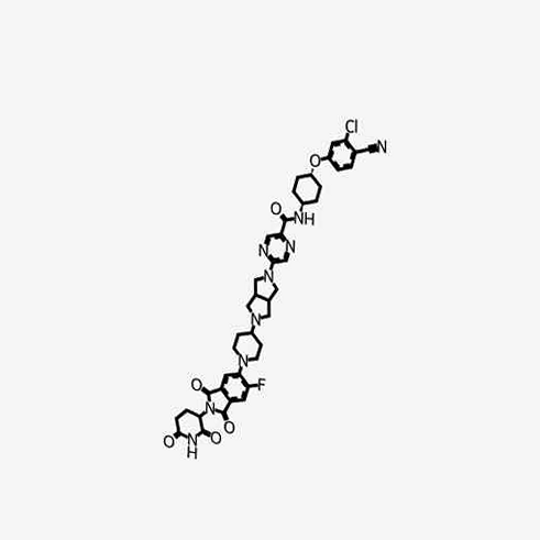 N#Cc1ccc(O[C@H]2CC[C@H](NC(=O)c3cnc(N4CC5CN(C6CCN(c7cc8c(cc7F)C(=O)N(C7CCC(=O)NC7=O)C8=O)CC6)CC5C4)cn3)CC2)cc1Cl